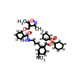 Cc1noc(C)c1COc1ccccc1C(=O)NCCCc1cc([N+](=O)[O-])ccc1COP(=O)(C1CCCCC1)C1CCCCC1